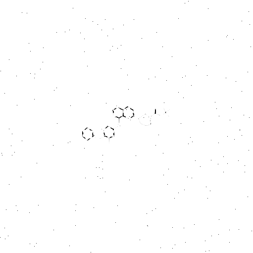 CC(C)(C)OC(=O)N1CCC[C@@H](c2ccc3ncnc(Nc4cnc(Oc5ccccc5)c(Cl)c4)c3n2)C1